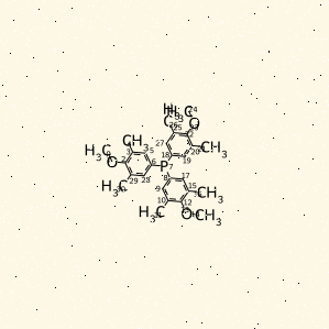 COc1c(C)cc(P(c2cc(C)c(OC)c(C)c2)c2cc(C)c(OC)c(C)c2)cc1C